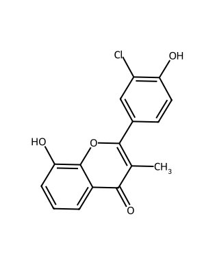 Cc1c(-c2ccc(O)c(Cl)c2)oc2c(O)cccc2c1=O